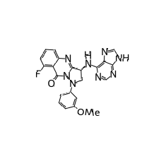 COc1cccc(N2C[C@H](Nc3ncnc4[nH]cnc34)c3nc4cccc(F)c4c(=O)n32)c1